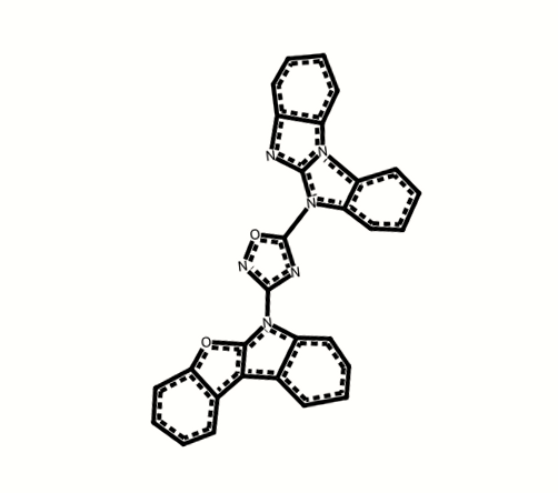 c1ccc2c(c1)nc1n(-c3nc(-n4c5ccccc5c5c6ccccc6oc54)no3)c3ccccc3n21